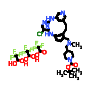 CN(Cc1ccc2cc1CCc1cncc(c1)Nc1ncc(Cl)c(n1)N2)CC1CCN(C(=O)OC(C)(C)C)CC1.O=C(O)C(F)(F)F.O=C(O)C(F)(F)F.O=C(O)C(F)(F)F